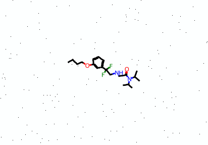 CCCCOc1cccc(C(F)(F)CNCC(=O)N(C(C)C)C(C)C)c1